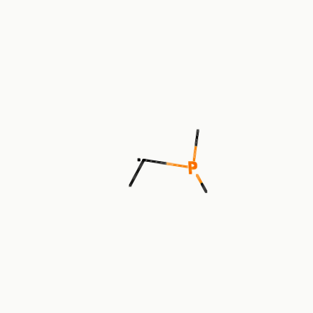 C[CH]P(C)C